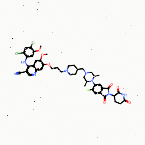 COc1cc(Nc2c(C#N)cnc3cc(OCCCN4CCC(CN5CC(C)N(c6cc7c(cc6F)C(=O)N(C6CCC(=O)NC6=O)C7=O)C(C)C5)CC4)c(OC)cc23)c(Cl)cc1Cl